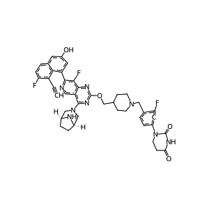 C#Cc1c(F)ccc2cc(O)cc(-c3ncc4c(N5C[C@H]6CC[C@@H](C5)N6)nc(OCC5CCN(Cc6ccc(N7CCC(=O)NC7=O)cc6F)CC5)nc4c3F)c12